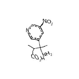 CC(C(=O)O)C(C)(N)c1cncc([N+](=O)[O-])c1